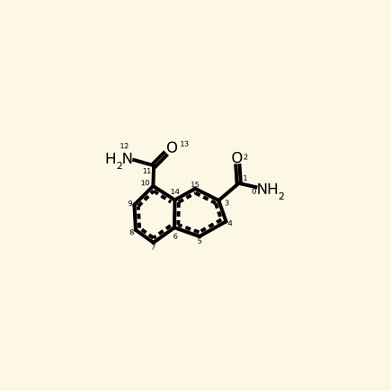 NC(=O)c1ccc2cccc(C(N)=O)c2c1